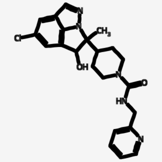 CC1(C2CCN(C(=O)NCc3ccccn3)CC2)C(O)c2cc(Cl)cc3cnn1c23